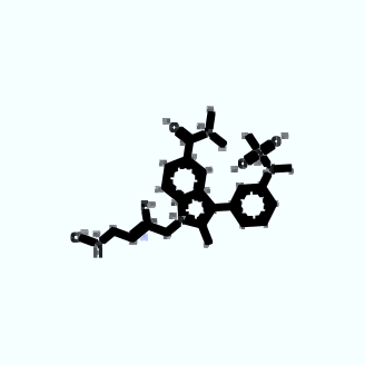 Cc1c(-c2cccc(N(C)S(C)(=O)=O)c2)c2cc(C(=O)N(C)C)ccc2n1C/C(F)=C/CNCl